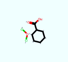 ClOCl.O=C(O)C1CCCCC1